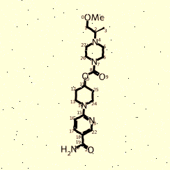 COC[C@@H](C)N1CCN(C(=O)OC2CCN(c3ccc(C(N)=O)cn3)CC2)CC1